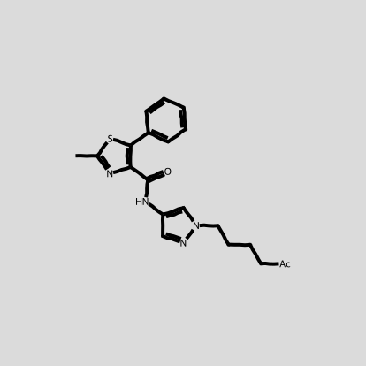 CC(=O)CCCCn1cc(NC(=O)c2nc(C)sc2-c2ccccc2)cn1